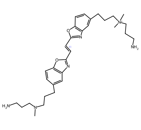 CN(CCCN)CCCc1ccc2oc(/C=C/c3nc4cc(CCC[N+](C)(C)CCCN)ccc4o3)nc2c1